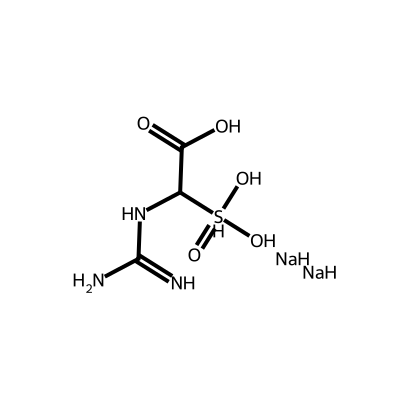 N=C(N)NC(C(=O)O)[SH](=O)(O)O.[NaH].[NaH]